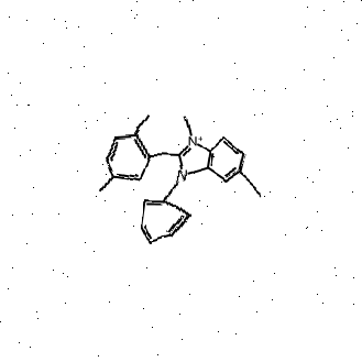 Cc1ccc(C)c(-c2n(-c3ccccc3)c3cc(C)ccc3[n+]2C)c1